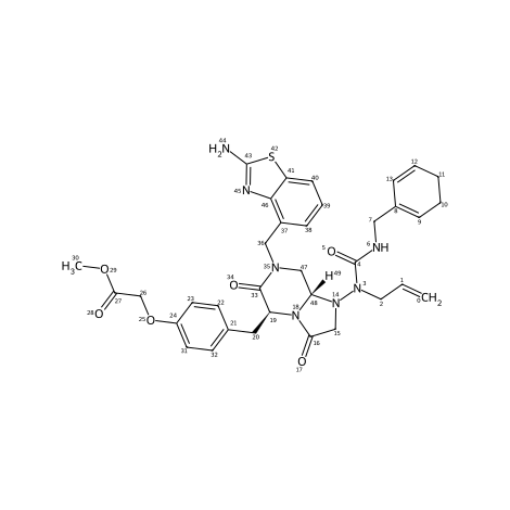 C=CCN(C(=O)NCC1=CCCC=C1)N1CC(=O)N2[C@@H](Cc3ccc(OCC(=O)OC)cc3)C(=O)N(Cc3cccc4sc(N)nc34)C[C@@H]21